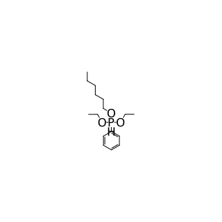 CCCCCCO[PH](OCC)(OCC)c1ccccc1